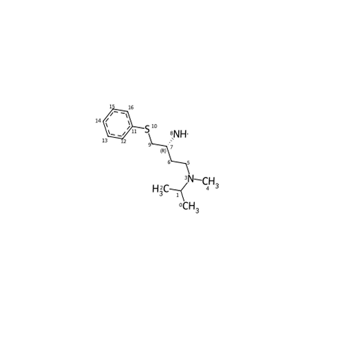 CC(C)N(C)CC[C@@H]([NH])CSc1ccccc1